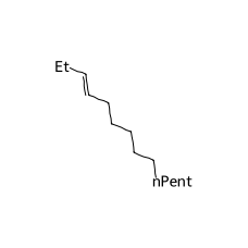 [CH2]CC=CCCCCCCCCCC